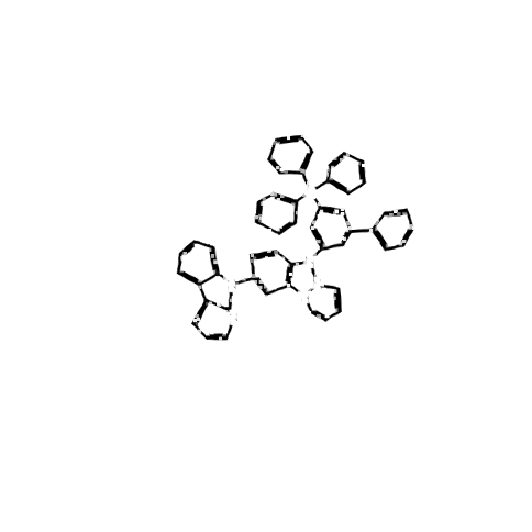 C1=CN2c3cc(-n4c5ccccc5c5cccnc54)ccc3N(c3cc(-c4ccccc4)cc(S(c4ccccc4)(c4ccccc4)c4ccccc4)c3)N2C=C1